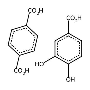 O=C(O)c1ccc(C(=O)O)cc1.O=C(O)c1ccc(O)c(O)c1